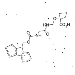 O=C(CNC(=O)OCC1c2ccccc2-c2ccccc21)NCOC1(C(=O)O)CCC1